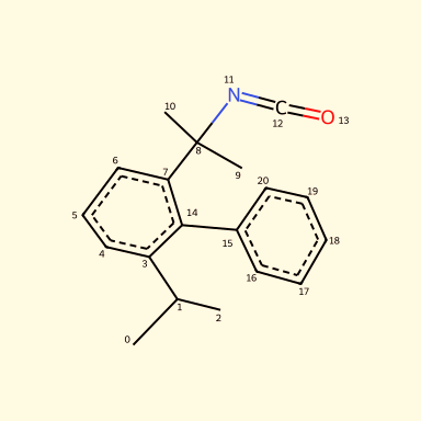 CC(C)c1cccc(C(C)(C)N=C=O)c1-c1ccccc1